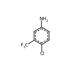 Nc1[c]cc(Cl)c(C(F)(F)F)c1